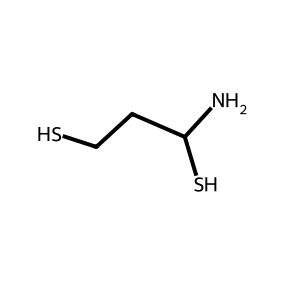 NC(S)CCS